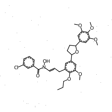 CCCOc1c(CC=CN(O)C(=O)c2cccc(Cl)c2)cc(C2CCC(c3cc(OC)c(OC)c(OC)c3)O2)cc1OC